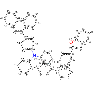 c1ccc(-c2ccc(-c3ccccc3N(c3ccc(-c4cccc(-c5cc6ccccc6o5)c4)cc3)c3ccc(-c4cc5ccccc5c5ccccc45)cc3)cc2)cc1